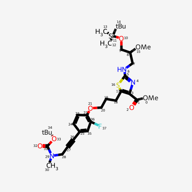 COC(=O)c1nc(NCC(CO[Si](C)(C)C(C)(C)C)OC)sc1CCCOc1ccc(C#CCN(C)C(=O)OC(C)(C)C)cc1F